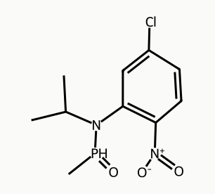 CC(C)N(c1cc(Cl)ccc1[N+](=O)[O-])[PH](C)=O